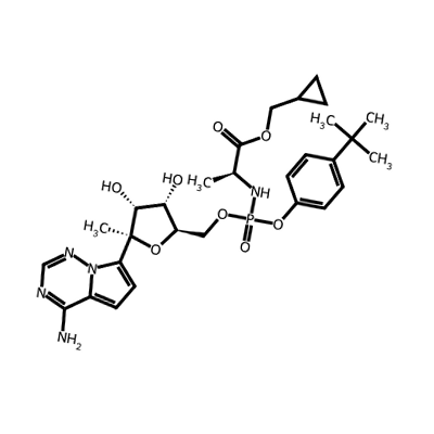 C[C@H](NP(=O)(OC[C@H]1O[C@@](C)(c2ccc3c(N)ncnn23)[C@H](O)[C@@H]1O)Oc1ccc(C(C)(C)C)cc1)C(=O)OCC1CC1